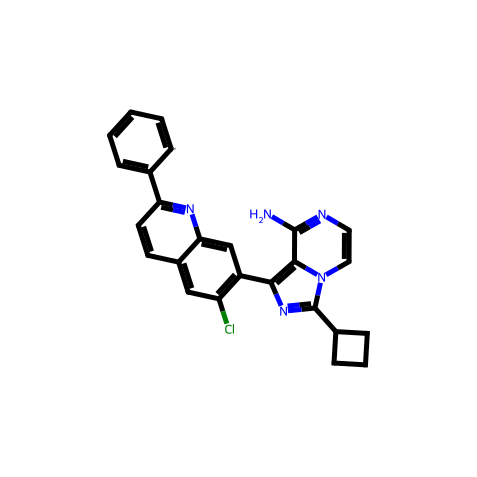 Nc1nccn2c(C3CCC3)nc(-c3cc4nc(-c5[c]cccc5)ccc4cc3Cl)c12